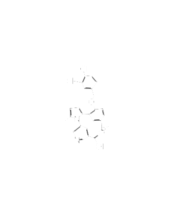 Cc1ccc(-c2cc(Br)ccc2OCc2ccc(Cl)c(Cl)c2)n1-c1cncc(C(=O)O)c1